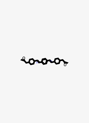 C(=C\C1CCC(CC2CO2)CC1)/c1ccc(/C=C/C2CCC(CC3CO3)CC2)cc1